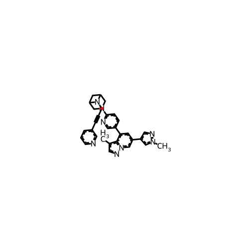 Cc1cnn2cc(-c3cnn(C)c3)cc(-c3ccc(N4CC5CC(C4)N5CC#Cc4cccnc4)nc3)c12